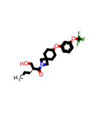 CCC[C@H](CO)C(=O)N1CC2(CCC(Oc3cccc(OC(F)(F)F)c3)CC2)C1